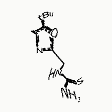 CC(C)(C)c1cnc(CNC(N)=S)o1